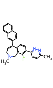 Cc1ccc(-c2ccc3c(c2F)CN(C)CC=C3c2ccc3ccccc3c2)nn1